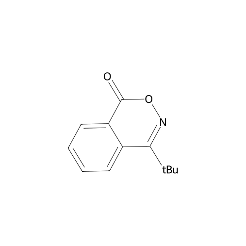 CC(C)(C)c1noc(=O)c2ccccc12